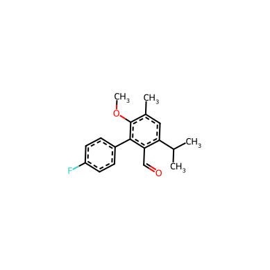 COc1c(C)cc(C(C)C)c(C=O)c1-c1ccc(F)cc1